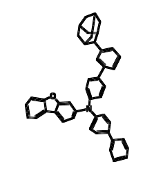 c1ccc(-c2ccc(N(c3ccc(-c4cccc(C5C6CC7CC(C6)CC5C7)c4)cc3)c3ccc4c(c3)oc3ccccc34)cc2)cc1